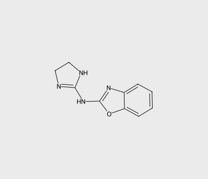 c1ccc2oc(NC3=NCCN3)nc2c1